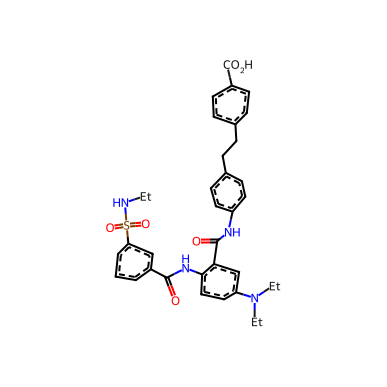 CCNS(=O)(=O)c1cccc(C(=O)Nc2ccc(N(CC)CC)cc2C(=O)Nc2ccc(CCc3ccc(C(=O)O)cc3)cc2)c1